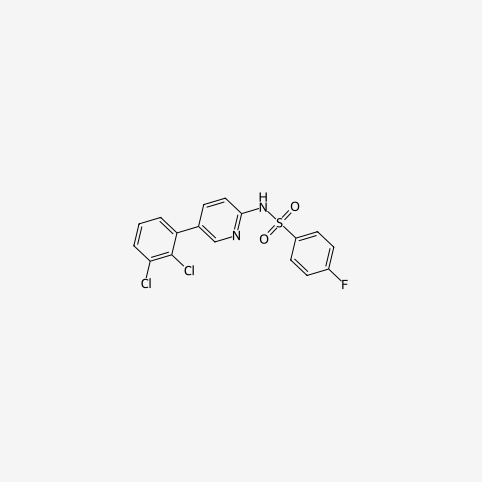 O=S(=O)(Nc1ccc(-c2cccc(Cl)c2Cl)cn1)c1ccc(F)cc1